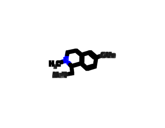 CNCC1c2ccc(OC)cc2CCN1C